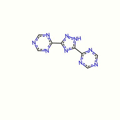 c1ncnc(-c2n[nH]c(-c3ncncn3)n2)n1